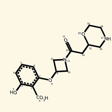 O=C(O)c1c(O)cccc1OC1CN(C(=O)CC2CNCCO2)C1